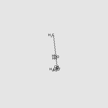 CCCCCCCCCCCCCCCCNC(=O)NCCCCCCOP(=O)(S)C(C)C